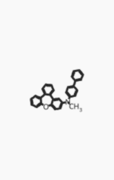 CN(c1ccc(-c2ccccc2)cc1)c1ccc2c(c1)-c1ccccc1-c1ccccc1O2